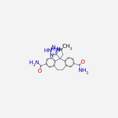 C[C@H](N)CC1(c2nn[nH]n2)c2ccc(C(N)=O)cc2CCc2cc(C(N)=O)ccc21